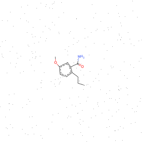 CCCc1ccc(OC)cc1C(N)=O